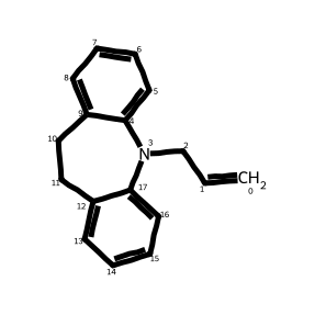 C=CCN1c2ccccc2CCc2ccccc21